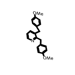 COc1ccc(Cc2cccnc2Cc2ccc(OC)cc2)cc1